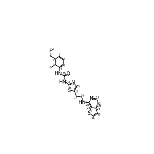 Cc1c(CF)cccc1NC(=O)Nc1ncc(CCNc2ncnc3ccsc23)s1